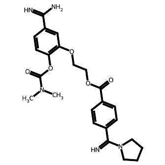 CN(C)C(=O)Oc1ccc(C(=N)N)cc1OCCOC(=O)c1ccc(C(=N)N2CCCC2)cc1